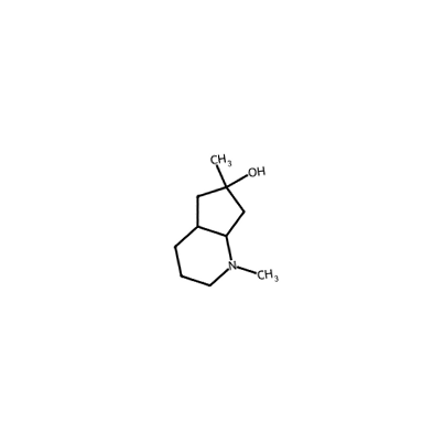 CN1CCCC2CC(C)(O)CC21